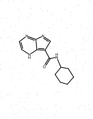 O=C(NC1CCCCC1)c1cnc2ncc[nH]c1-2